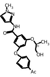 CC(=O)c1ccc(Oc2cc(O[C@@H](C)CO)cc(C(=O)Nc3ccn(C)n3)c2)cc1